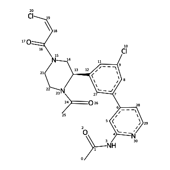 CC(=O)Nc1cc(-c2cc(Cl)cc([C@@H]3CN(C(=O)/C=C\Cl)CCN3C(C)=O)c2)ccn1